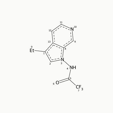 CCc1cn(NC(=O)C(F)(F)F)c2cnccc12